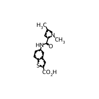 Cc1cc(C(=O)Nc2ccc3sc(C(=O)O)cc3c2)n(C)c1